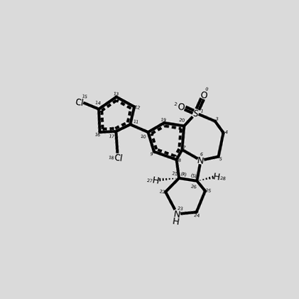 O=S1(=O)CCCN2c3c(cc(-c4ccc(Cl)cc4Cl)cc31)[C@@H]1CNCC[C@@H]12